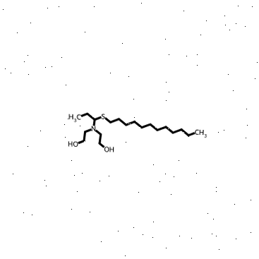 CCCCCCCCCCCCSC(CC)N(CCO)CCO